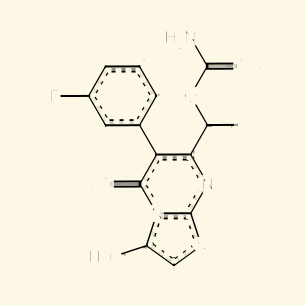 Cc1csc2nc(C(C)OC(N)=O)c(-c3cccc(F)c3)c(=O)n12